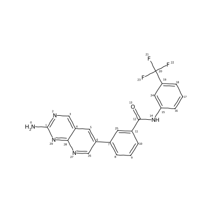 Nc1ncc2cc(-c3cccc(C(=O)Nc4cccc(C(F)(F)F)c4)c3)cnc2n1